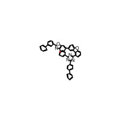 c1ccc(-c2ccc(-c3nc(-c4ccccc4)nc(-c4cccc5oc6ccc(-c7ccc8nc(-c9cccc(-c%10ccccc%10)c9)oc8c7)cc6c45)n3)cc2)cc1